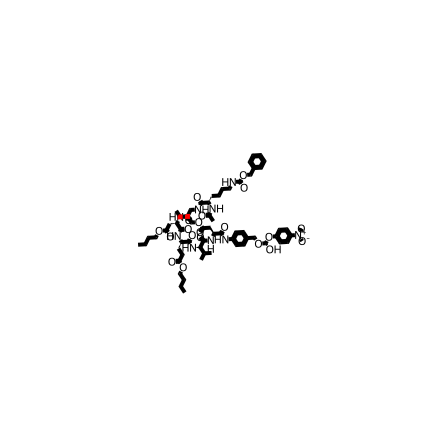 CCCCOC(=O)CC[C@H](NC(=O)[C@H](CC(=O)OCCCC)NC(=O)CNC(=O)[C@H](CCCCNC(=O)OCc1ccccc1)NC(C)=O)C(=O)N[C@H](C(=O)N[C@@H](CC(=O)OCCCC)C(=O)Nc1ccc(CO[C@H](O)Oc2ccc([N+](=O)[O-])cc2)cc1)C(C)C